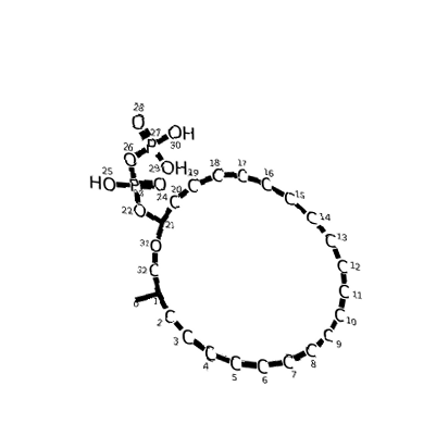 CC1CCCCCCCCCCCCCCCCCCCC(OP(=O)(O)OP(=O)(O)O)OC1